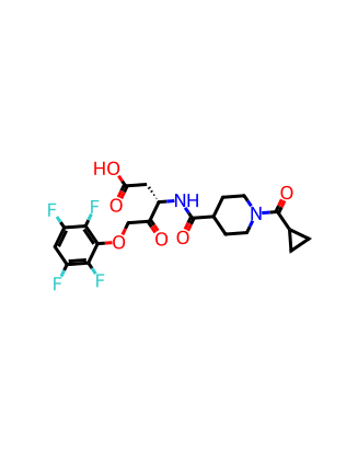 O=C(O)C[C@H](NC(=O)C1CCN(C(=O)C2CC2)CC1)C(=O)COc1c(F)c(F)cc(F)c1F